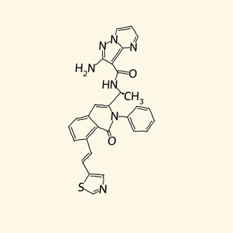 C[C@H](NC(=O)c1c(N)nn2cccnc12)c1cc2cccc(/C=C/c3cncs3)c2c(=O)n1-c1ccccc1